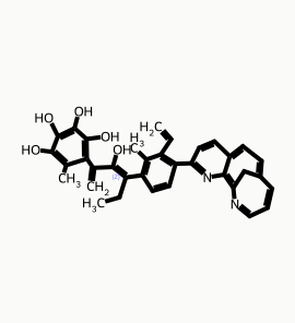 C=Cc1c(-c2ccc3c(n2)=C2CC(=CC=3)C=CC=N2)ccc(/C(CC)=C(\O)C(=C)c2c(C)c(O)c(O)c(O)c2O)c1C